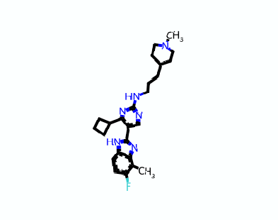 Cc1c(F)ccc2[nH]c(-c3cnc(NCCCC4CCN(C)CC4)nc3C3CCC3)nc12